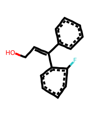 OCC=C(c1ccccc1)c1ccccc1F